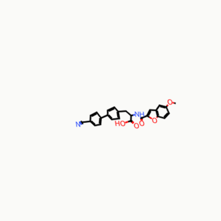 COc1ccc2oc(C(=O)NC(Cc3ccc(-c4ccc(C#N)cc4)cc3)C(=O)O)cc2c1